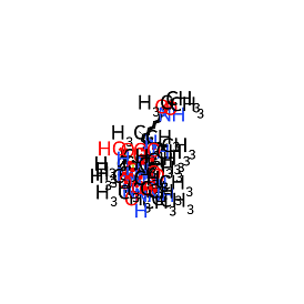 CC[C@H](NC(=O)C(C[C@H](C)CCCCCCNC(=O)OC(C)(C)C)N(C)C(=O)CC(C)C)C(=O)N(C)[C@H](CSC(C)(C)CC(=O)O)C(=O)N(C)[C@@H](CC(C)C)C(=O)N[C@H](C(=O)N(C)[C@@H](CC(C)C)C(=O)N[C@H](C)C(=O)NCC(=O)N(C)[C@@H](CC(C)C)C(=O)N(C)[C@@H](CC(C)C)C(=O)NC)C(C)C